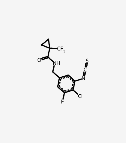 O=C(NCc1cc(F)c(Cl)c(N=C=S)c1)C1(C(F)(F)F)CC1